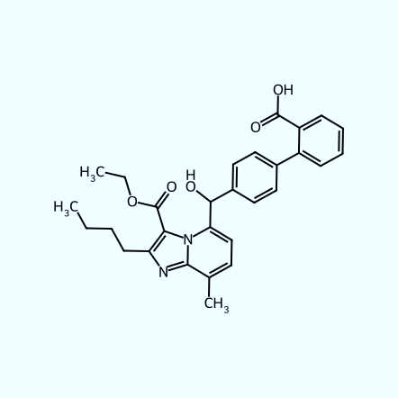 CCCCc1nc2c(C)ccc(C(O)c3ccc(-c4ccccc4C(=O)O)cc3)n2c1C(=O)OCC